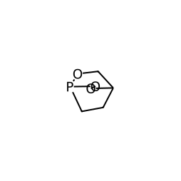 C1CP2OCC1OO2